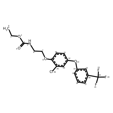 CCOC(=O)NCCOc1ccc(Oc2cccc(C(F)(F)F)c2)cc1Cl